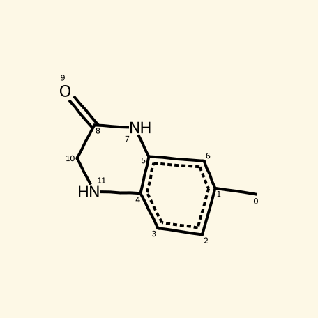 Cc1ccc2c(c1)NC(=O)CN2